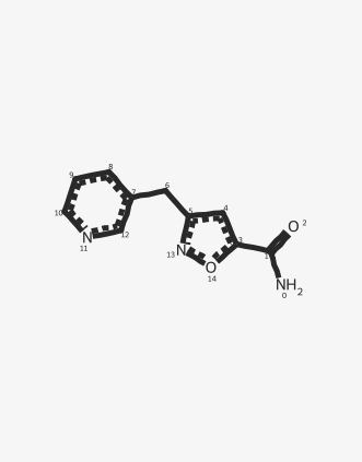 NC(=O)c1cc(Cc2cccnc2)no1